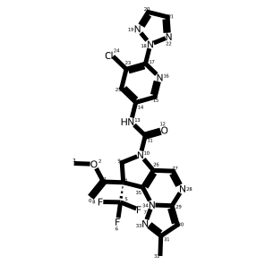 C=C(OC)[C@@]1(C(F)(F)F)CN(C(=O)Nc2cnc(-n3nccn3)c(Cl)c2)c2cnc3cc(C)nn3c21